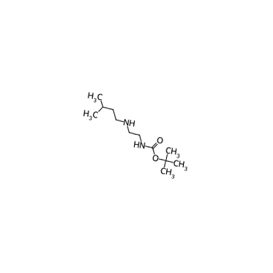 CC(C)CCNCCNC(=O)OC(C)(C)C